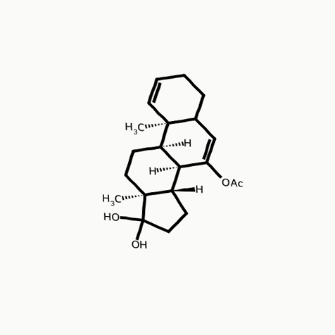 CC(=O)OC1=CC2CCC=C[C@]2(C)[C@@H]2CC[C@@]3(C)[C@@H](CCC3(O)O)[C@H]12